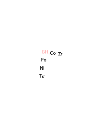 B.[Co].[Fe].[Ni].[Ta].[Zr]